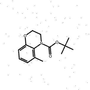 Cc1cccc2c1N(C(=O)OC(C)(C)C)CCO2